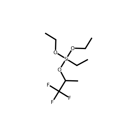 CCO[Si](CC)(OCC)OC(C)C(F)(F)F